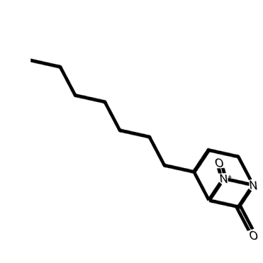 CCCCCCCC1CCN2C(=O)C1[N+]2=O